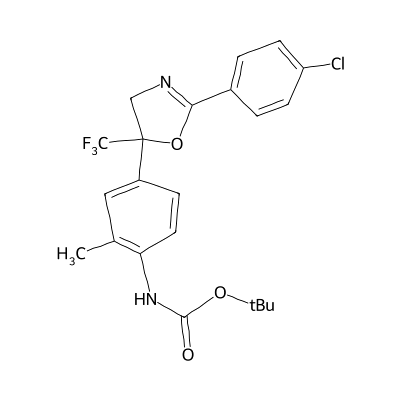 Cc1cc(C2(C(F)(F)F)CN=C(c3ccc(Cl)cc3)O2)ccc1NC(=O)OC(C)(C)C